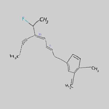 C=Cc1cc(C/C=C/C=C(\C#CC)C(C)F)ccc1C